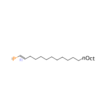 CCCCCCCCCCCCCCCCCC/C=C/[P]